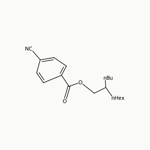 CCCCCCC(CCCC)COC(=O)c1ccc(C#N)cc1